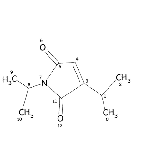 CC(C)C1=CC(=O)N(C(C)C)C1=O